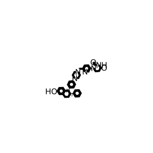 O=C1CCN(c2ccc(CN3CCN(c4ccc([C@H]5c6ccc(O)cc6CC[C@H]5c5ccccc5)cc4)CC3)nc2)C(=O)N1